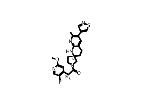 COc1cc([C@@H](C)C(=O)N2CC[C@@]3(CCc4cc(-c5cnsc5)c(C)nc4N3)C2)c(F)cn1